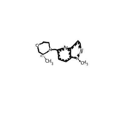 C[C@@H]1COCCN1c1ccc2c(cnn2C)n1